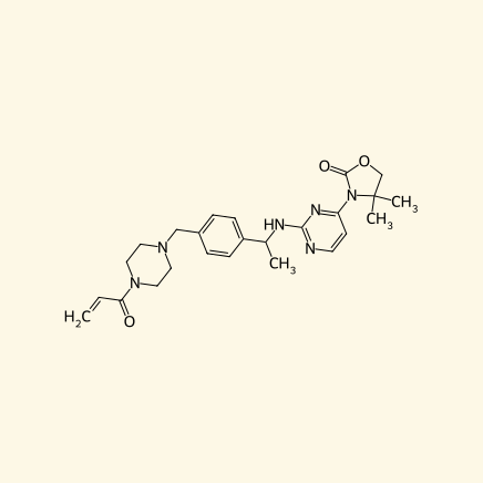 C=CC(=O)N1CCN(Cc2ccc(C(C)Nc3nccc(N4C(=O)OCC4(C)C)n3)cc2)CC1